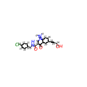 CN(C)n1cc(C(=O)NCc2ccc(Cl)cc2)c(=O)c2cc(C#CCO)ccc21